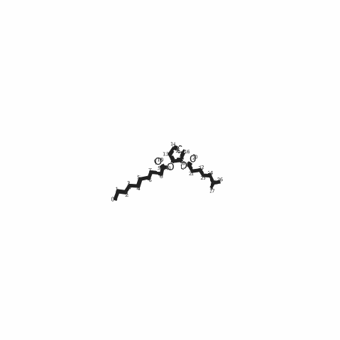 CCCCCCCCCC(=O)Oc1ccccc1OC(=O)CCCCC(C)C